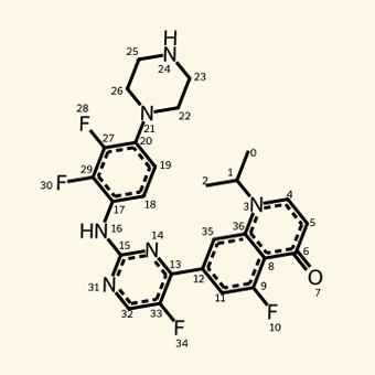 CC(C)n1ccc(=O)c2c(F)cc(-c3nc(Nc4ccc(N5CCNCC5)c(F)c4F)ncc3F)cc21